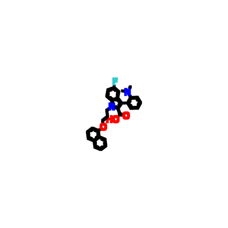 CN(C)c1ccccc1-c1c(C(=O)O)n(CCCOc2cccc3ccccc23)c2ccc(F)cc12